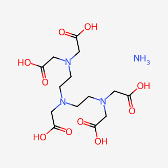 N.O=C(O)CN(CCN(CC(=O)O)CC(=O)O)CCN(CC(=O)O)CC(=O)O